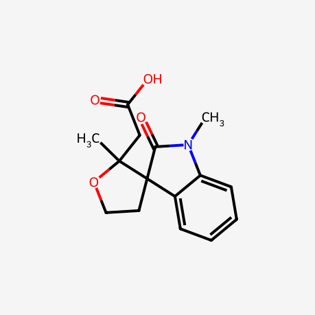 CN1C(=O)C2(CCOC2(C)CC(=O)O)c2ccccc21